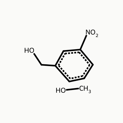 CO.O=[N+]([O-])c1cccc(CO)c1